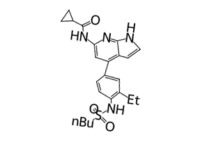 CCCCS(=O)(=O)Nc1ccc(-c2cc(NC(=O)C3CC3)nc3[nH]ccc23)cc1CC